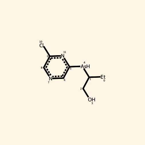 CCC(CO)[AsH]c1cncc(Cl)n1